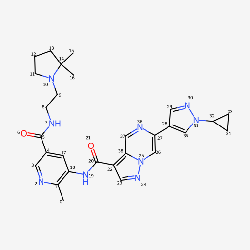 Cc1ncc(C(=O)NCCN2CCCC2(C)C)cc1NC(=O)c1cnn2cc(-c3cnn(C4CC4)c3)ncc12